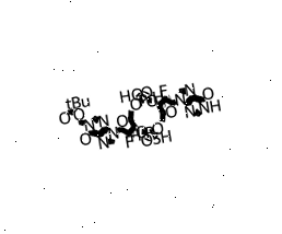 CC(C)(C)C(=O)OCn1cnc2c(ncn2C2OC3COP(=O)(O)O[C@@H]4C(COP(=O)(S)O[C@H]3[C@H]2F)OC(n2cnc3c(=O)[nH]cnc32)[C@@H]4F)c1=O